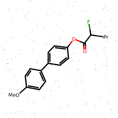 COc1ccc(-c2ccc(OC(=O)C(F)C(C)C)cc2)cc1